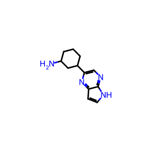 NC1CCCC(c2cnc3[nH]ccc3n2)C1